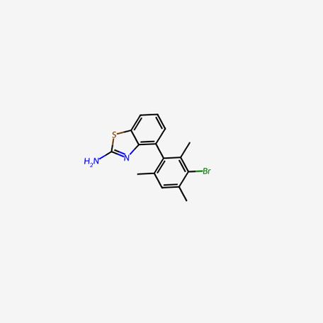 Cc1cc(C)c(-c2cccc3sc(N)nc23)c(C)c1Br